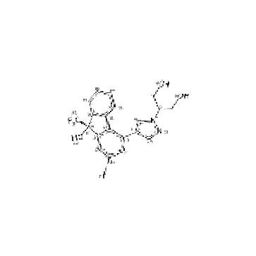 OCC(CO)n1cc(-c2cc(F)cc3c2-c2ccccc2[C@]3(O)C(F)(F)F)cn1